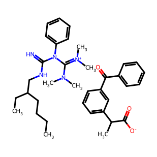 CC(C(=O)[O-])c1cccc(C(=O)c2ccccc2)c1.CCCCC(CC)CNC(=N)N(C(N(C)C)=[N+](C)C)c1ccccc1